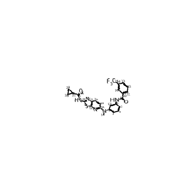 CN(c1cccc(NC(=O)c2cccc(C(F)(F)F)c2)c1)c1ccc2nc(NC(=O)C3CC3)sc2n1